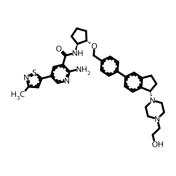 Cc1cc(-c2cnc(N)c(C(=O)N[C@H]3CCC[C@@H]3OCc3ccc(-c4ccc5c(c4)CC[C@@H]5N4CCN(CCO)CC4)cc3)c2)sn1